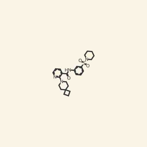 O=C(Nc1cccc(S(=O)(=O)N2CCCCC2)c1)c1cccnc1N1CCC2(CCC2)CC1